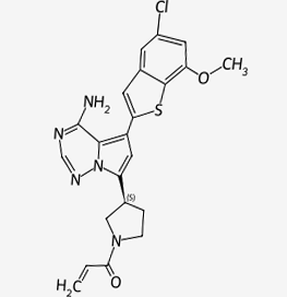 C=CC(=O)N1CC[C@H](c2cc(-c3cc4cc(Cl)cc(OC)c4s3)c3c(N)ncnn23)C1